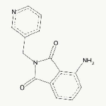 Nc1cccc2c1C(=O)N(Cc1cccnc1)C2=O